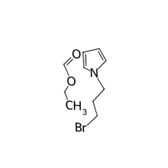 BrCCCn1cccc1.CCOC=O